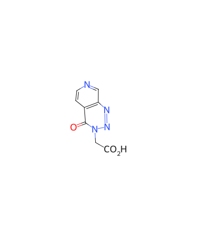 O=C(O)Cn1nnc2cnccc2c1=O